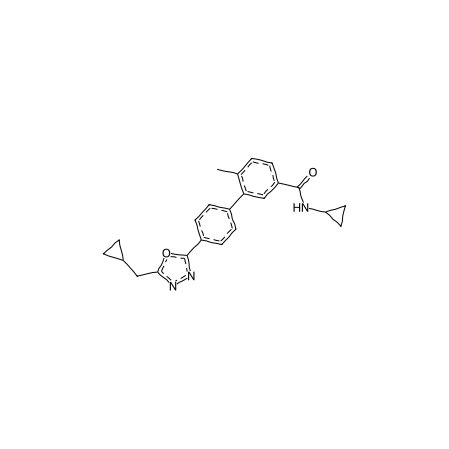 Cc1ccc(C(=O)NC2CC2)cc1-c1ccc(-c2nnc(CC3CC3)o2)cc1